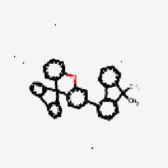 CC1(C)c2ccccc2-c2c(-c3ccc4c(c3)Oc3ccccc3C43c4ccccc4-c4ccccc43)cccc21